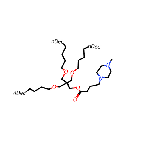 CCCCCCCCCCCCCCOCC(COCCCCCCCCCCCCCC)(COCCCCCCCCCCCCCC)COC(=O)CCCN1CCN(C)CC1